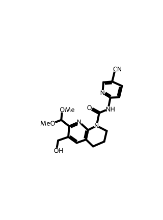 COC(OC)c1nc2c(cc1CO)CCCN2C(=O)Nc1ccc(C#N)cn1